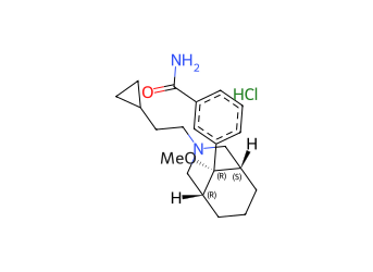 CO[C@@]1(c2cccc(C(N)=O)c2)[C@@H]2CCC[C@H]1CN(CCC1CC1)C2.Cl